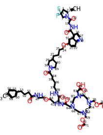 C#C[C@H]1CC(F)(F)CN1C(=O)CNC(=O)c1ccnc2ccc(OCCCCC3CCN(C(=O)CCCCCNC(=O)[C@H](CCOCCNC(=O)CCCc4ccc(C)cc4)NC(=O)CN4CCN(COC=O)CCN(COC=O)CCN(CC(=O)O)CC4)CC3)cc12